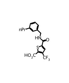 CCCc1cccc(CNC(=O)c2cc(C(F)(F)F)c(C(=O)O)s2)c1